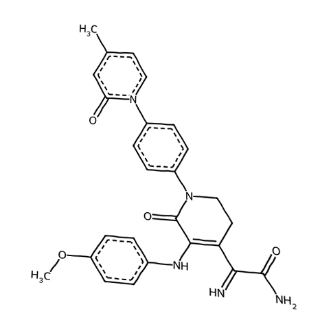 COc1ccc(NC2=C(C(=N)C(N)=O)CCN(c3ccc(-n4ccc(C)cc4=O)cc3)C2=O)cc1